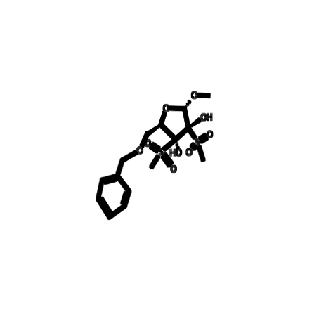 CO[C@H]1O[C@H](COCc2ccccc2)[C@](O)(S(C)(=O)=O)[C@@]1(O)S(C)(=O)=O